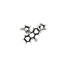 O=c1c2ccccc2[nH]c2ccccc12.c1c[nH]nn1.c1ncon1